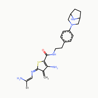 C=C1C(N)=C(C(=O)NCCc2ccc(N3CC4CCC(C3)N4)cc2)S/C1=N/C=C(\N)CC